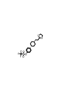 O=S(=O)(Oc1ccc([C@H]2CC[C@H](CCC3OCCO3)CC2)cc1)C(F)(F)F